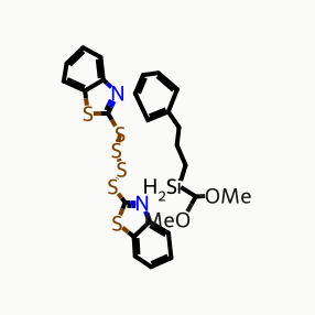 COC(OC)[SiH2]CCCc1ccccc1.c1ccc2sc(SSSSc3nc4ccccc4s3)nc2c1